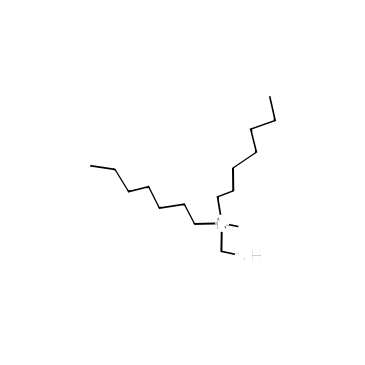 CCCCCCC[N+](C)(C[SiH3])CCCCCCC